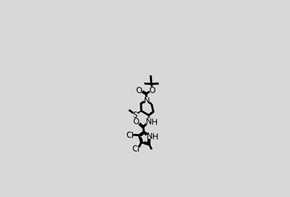 CS[C@H]1CN(C(=O)OC(C)(C)C)CC[C@H]1NC(=O)c1[nH]c(C)c(Cl)c1Cl